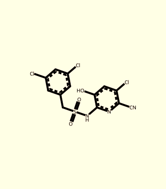 N#Cc1nc(NS(=O)(=O)Cc2cc(Cl)cc(Cl)c2)c(O)cc1Cl